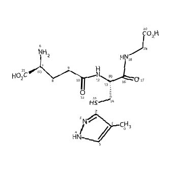 Cc1cn[nH]c1.N[C@@H](CCC(=O)N[C@@H](CS)C(=O)NCC(=O)O)C(=O)O